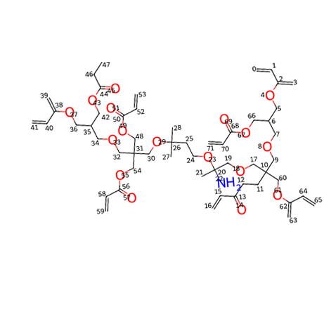 C=CC(=C)OCC(COCC(CCC(=O)C=C)(COCC(C)(N)OCCC(C)(C)OCC(COCC(COC(=C)C=C)COC(=O)CC)(COC(=O)C=C)COC(=O)C=C)COC(=C)C=C)COC(=O)C=C